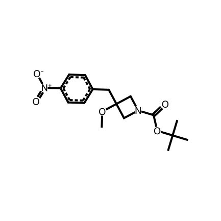 COC1(Cc2ccc([N+](=O)[O-])cc2)CN(C(=O)OC(C)(C)C)C1